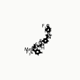 COC(c1ccc(C)cc1N1C(=O)CSC1=NC(=O)Nc1ccc(-c2cn(-c3ccc(C(F)(F)F)cn3)cn2)cc1F)C(F)(F)F